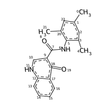 Cc1cc(C)c(NC(=O)c2c[nH]c3ccccc3c2=O)c(C)c1